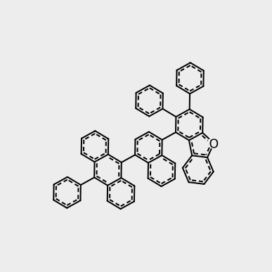 c1ccc(-c2cc3oc4ccccc4c3c(-c3ccc(-c4c5ccccc5c(-c5ccccc5)c5ccccc45)c4ccccc34)c2-c2ccccc2)cc1